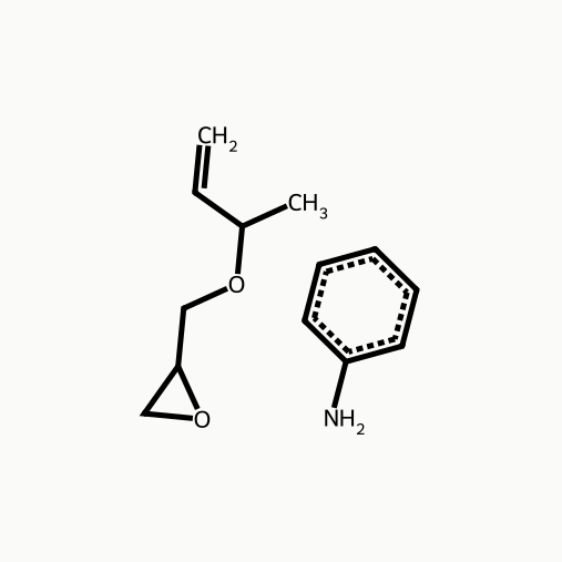 C=CC(C)OCC1CO1.Nc1ccccc1